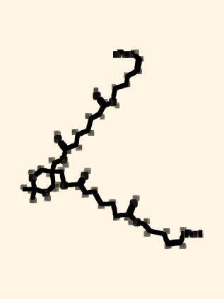 CCCCC/C=C\CCCOC(=O)CCCCCC(=O)OCC1(COC(=O)CCCCCC(=O)OCCC/C=C\CCCCC)COC(C)(C)OC1